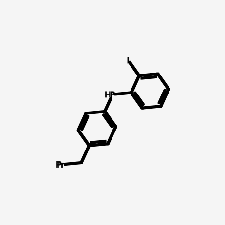 CC(C)Cc1ccc(Pc2ccccc2I)cc1